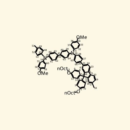 CCCCCCCCOc1ccc(C2(c3ccc(OCCCCCCCC)cc3)c3cc(C)ccc3-c3ccc(-c4ccc(N(c5ccc(OC)cc5)c5ccc(-c6ccc(N(c7ccc(C)cc7)c7ccc(OC)cc7)cc6)cc5)cc4)cc32)cc1